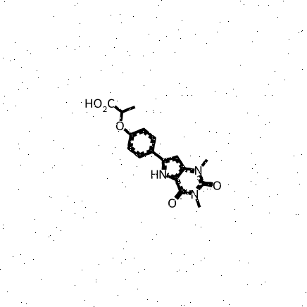 CC(Oc1ccc(-c2cc3c([nH]2)c(=O)n(C)c(=O)n3C)cc1)C(=O)O